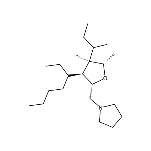 CCCCC(CC)[C@@H]1[C@@H](CN2CCCC2)O[C@@H](C)[C@]1(C)C(C)CC